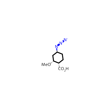 CO[C@@H]1C[C@@H](N=[N+]=[N-])CC[C@@H]1C(=O)O